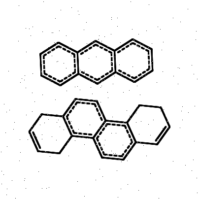 C1=Cc2ccc3c4c(ccc3c2CC1)CC=CC4.c1ccc2cc3ccccc3cc2c1